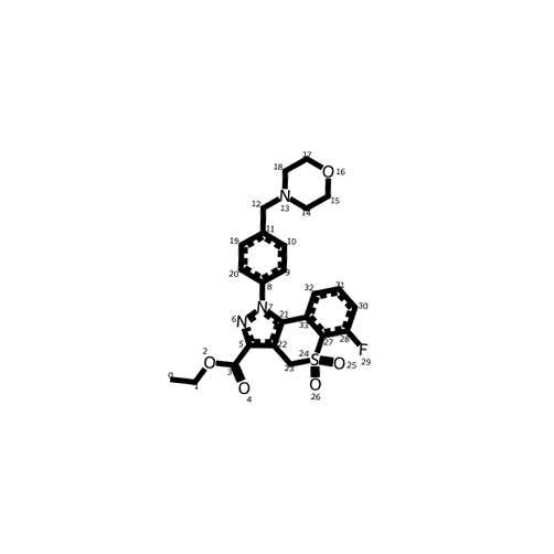 CCOC(=O)c1nn(-c2ccc(CN3CCOCC3)cc2)c2c1CS(=O)(=O)c1c(F)cccc1-2